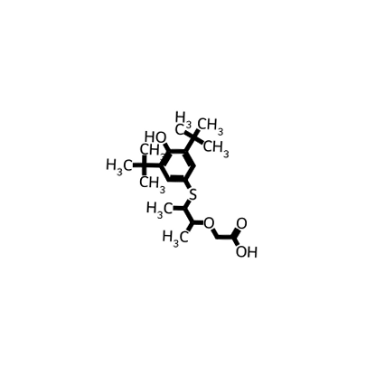 CC(OCC(=O)O)C(C)Sc1cc(C(C)(C)C)c(O)c(C(C)(C)C)c1